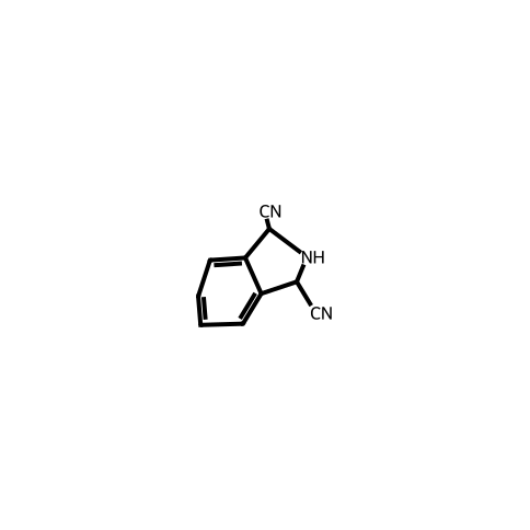 N#CC1NC(C#N)c2ccccc21